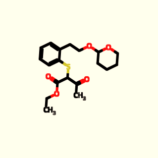 CCOC(=O)C(Sc1ccccc1CCOC1CCCCO1)C(C)=O